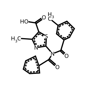 Cc1cccc(C(=O)N(C(=O)c2ccccc2)c2nc(C)c(C(=O)O)s2)c1